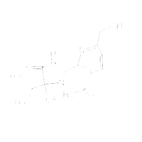 CCc1ccc(C(=O)O)c(C2=NC(C)(C(C)C)C(=O)N2)n1